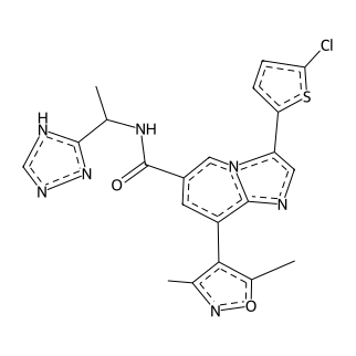 Cc1noc(C)c1-c1cc(C(=O)NC(C)c2nnc[nH]2)cn2c(-c3ccc(Cl)s3)cnc12